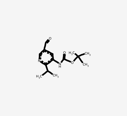 CC(C)c1ncc(C=O)cc1NC(=O)OC(C)(C)C